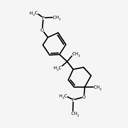 CP(C)OC1C=CC(C(C)(C)C2C=CC(C)(OP(C)C)CC2)=CC1